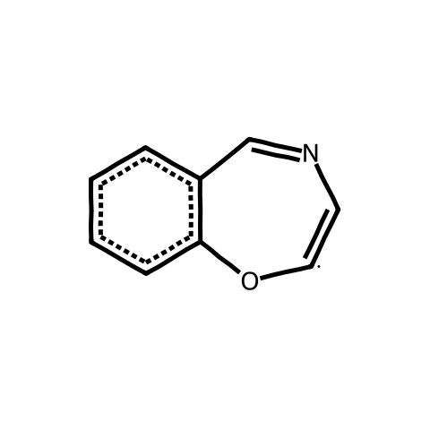 [C]1=CN=Cc2ccccc2O1